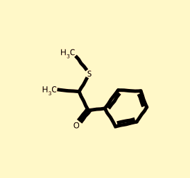 CSC(C)C(=O)c1ccccc1